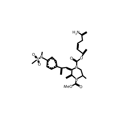 C=C(N)C/C=C\C(=C)OC(=O)N1CC(C)N(C(=O)OC)C(=C)/C1=C\C(=C)c1ccc(N(C)S(C)(=O)=O)cc1